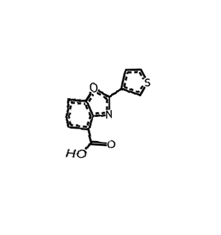 O=C(O)c1cccc2oc(-c3ccsc3)nc12